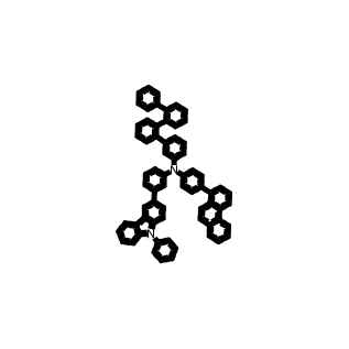 c1ccc(-c2ccccc2-c2ccccc2-c2cccc(N(c3ccc(-c4cccc5c4ccc4ccccc45)cc3)c3cccc(-c4ccc5c(c4)c4ccccc4n5-c4ccccc4)c3)c2)cc1